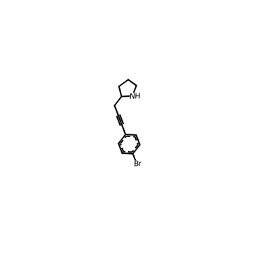 Brc1ccc(C#CCC2CCCN2)cc1